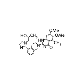 COc1cc2[nH]c(N3CCc4c(cccc4C4=NCCN4CC(C)O)C3)nc(=O)c2c(C)c1OC